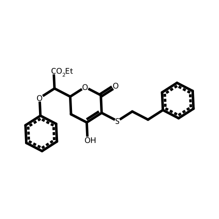 CCOC(=O)C(Oc1ccccc1)C1CC(O)=C(SCCc2ccccc2)C(=O)O1